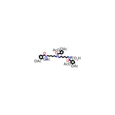 CC(=O)Oc1cccc(C(=O)NCCCCCCN(CCCCCCN(CC(=O)O)C(=O)c2cccc(OC(C)=O)c2OC(C)=O)C(=O)c2cccc(OC(C)=O)c2OC(C)=O)c1OC(C)=O